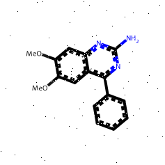 COc1cc2nc(N)nc(-c3ccccc3)c2cc1OC